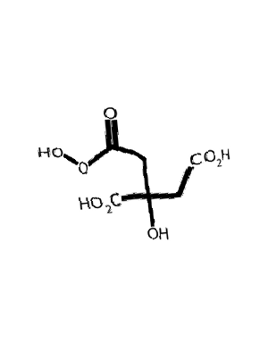 O=C(O)CC(O)(CC(=O)OO)C(=O)O